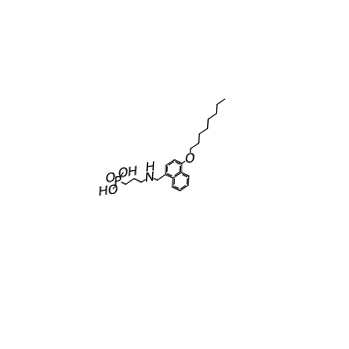 CCCCCCCCOc1ccc(CNCCCP(=O)(O)O)c2ccccc12